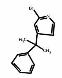 CC(C)(c1ccccc1)c1ccnc(Br)c1